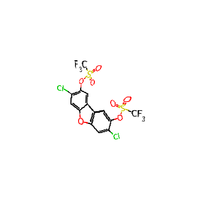 O=S(=O)(Oc1cc2c(cc1Cl)oc1cc(Cl)c(OS(=O)(=O)C(F)(F)F)cc12)C(F)(F)F